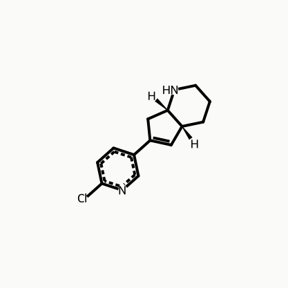 Clc1ccc(C2=C[C@H]3CCCN[C@H]3C2)cn1